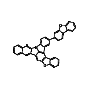 c1ccc2nc3c(cc2c1)c1cc2oc4ccccc4c2c2c4cc(-c5ccc6c(c5)oc5ccccc56)ccc4n3c12